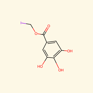 O=C(OCI)c1cc(O)c(O)c(O)c1